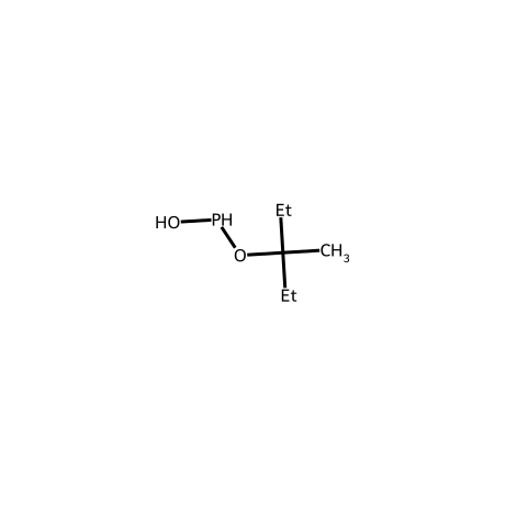 CCC(C)(CC)OPO